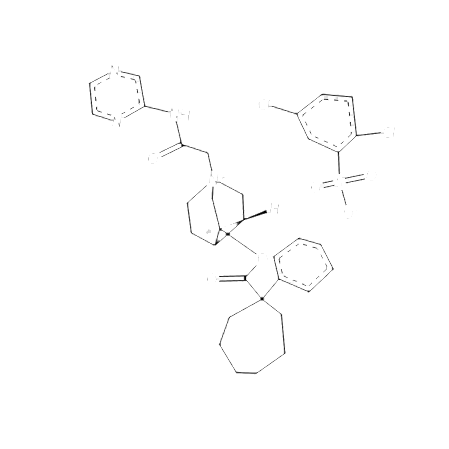 O=C(C[N+]12CCC(CC1)[C@@H](OC(=O)C1(c3ccccc3)CCCCCC1)C2)Nc1cnccn1.O=S(=O)([O-])c1cc(Cl)ccc1Cl